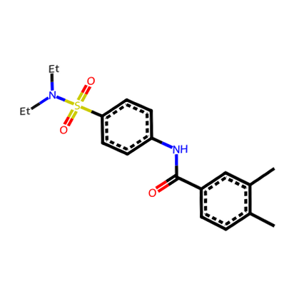 CCN(CC)S(=O)(=O)c1ccc(NC(=O)c2ccc(C)c(C)c2)cc1